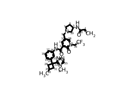 C=CC(=O)N[C@H]1CCN(Cc2cc(C(=O)Nc3cccc(C4(c5nncn5C)CC(C)C4)c3)c(=O)n(CC(F)(F)F)c2)C1